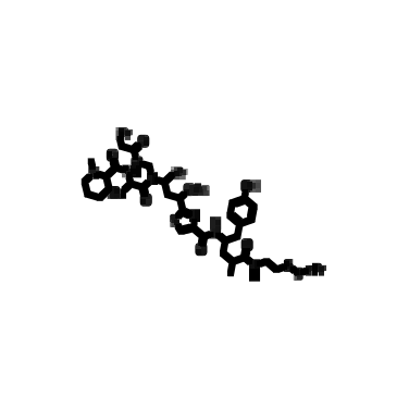 CCCSSCCNC(=O)C(C)CC(Cc1ccc(O)cc1)NC(=O)c1csc(C(CC(C(C)C)N(COC(=O)CC(C)C)C(=O)C(NC(=O)C2CCCCN2C)C(C)CC)OC(C)=O)n1